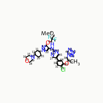 COCC(F)(F)COc1nn([C@H]2CC[C@H](N3CCOCC3)CC2)cc1Nc1ncc(-c2ccc(Cl)c(O[C@@H](C)Cn3cnnn3)c2)cn1